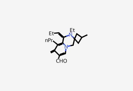 C=C1C(C=O)=CN2CC3(CC(C)C3)N(CC)/C(=C/CC)C2=C1CCC